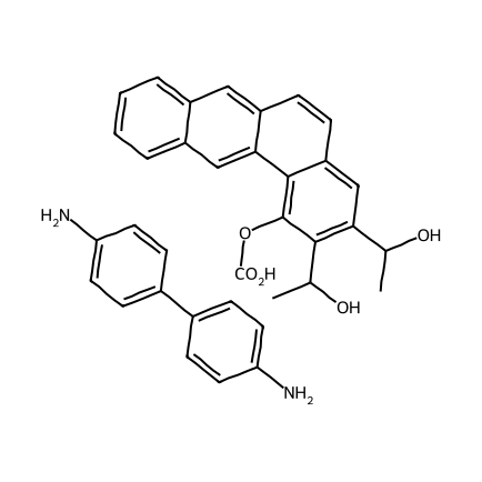 CC(O)c1cc2ccc3cc4ccccc4cc3c2c(OC(=O)O)c1C(C)O.Nc1ccc(-c2ccc(N)cc2)cc1